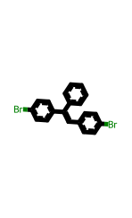 Brc1ccc(/C=C(\c2ccccc2)c2ccc(Br)cc2)cc1